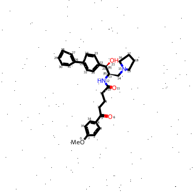 COc1ccc(C(=O)CCCC(=O)N[C@H](CN2CCCC2)[C@H](O)c2ccc(-c3ccccc3)cc2)cc1